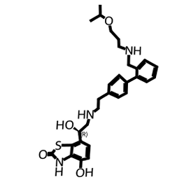 CC(C)OCCCNCc1ccccc1-c1ccc(CCNC[C@H](O)c2ccc(O)c3[nH]c(=O)sc23)cc1